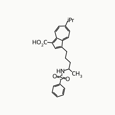 CC(CCCc1cc(C(=O)O)c2ccc(C(C)C)ccc1-2)NS(=O)(=O)c1ccccc1